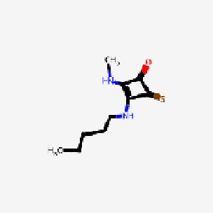 CCCCCNc1c(NC)c(=O)c1=S